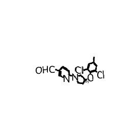 Cc1cc(Cl)c(O[C@H]2CCN(c3ccc(C=O)cn3)C2)c(Cl)c1